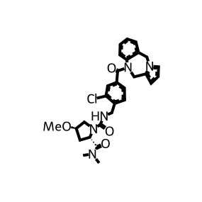 CO[C@@H]1C[C@@H](C(=O)N(C)C)N(C(=O)NCc2ccc(C(=O)N3Cc4cccn4Cc4ccccc43)cc2Cl)C1